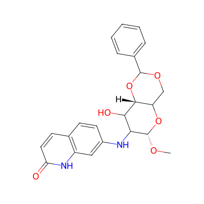 CO[C@H]1OC2COC(c3ccccc3)O[C@H]2C(O)C1Nc1ccc2ccc(=O)[nH]c2c1